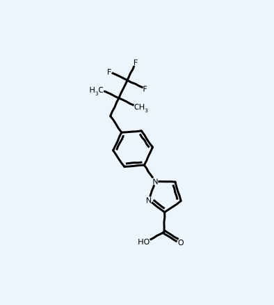 CC(C)(Cc1ccc(-n2ccc(C(=O)O)n2)cc1)C(F)(F)F